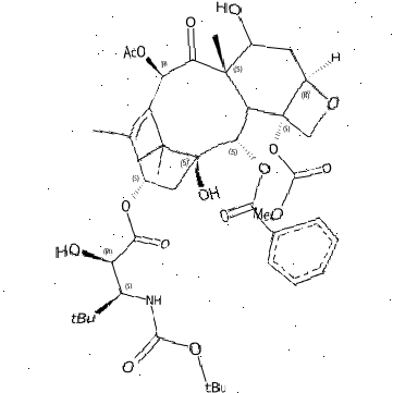 COC(=O)O[C@@]12CO[C@@H]1CC(O)[C@@]1(C)C(=O)[C@H](OC(C)=O)C3=C(C)[C@@H](OC(=O)[C@H](O)[C@@H](NC(=O)OC(C)(C)C)C(C)(C)C)C[C@@](O)([C@@H](OC(=O)c4ccccc4)C12)C3(C)C